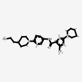 O=C(Nc1ccc(N2CCC(CCO)CC2)nc1)c1oc(N2CCCCC2)nc1C(F)(F)F